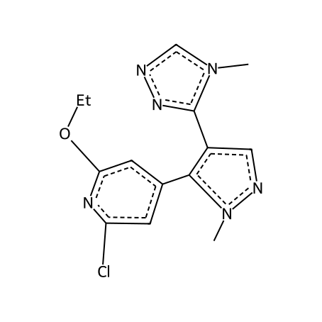 CCOc1cc(-c2c(-c3nncn3C)cnn2C)cc(Cl)n1